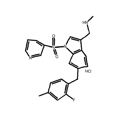 CNCc1cn(S(=O)(=O)c2cccnc2)c2cc(Cc3ccc(C)cc3F)ccc12.Cl